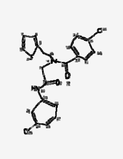 O=C(CN(Cc1cccs1)C(=O)c1ccc(Cl)cc1)Nc1cccc(Cl)c1